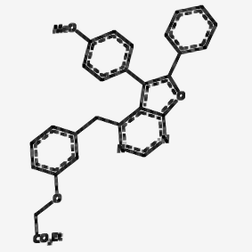 CCOC(=O)COc1cccc(Cc2ncnc3oc(-c4ccccc4)c(-c4ccc(OC)cc4)c23)c1